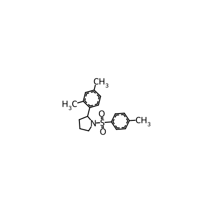 Cc1ccc(S(=O)(=O)N2CCCC2c2ccc(C)cc2C)cc1